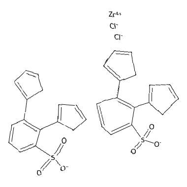 O=S(=O)([O-])c1cccc(C2=CC=CC2)c1C1=CC=CC1.O=S(=O)([O-])c1cccc(C2=CC=CC2)c1C1=CC=CC1.[Cl-].[Cl-].[Zr+4]